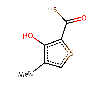 CNc1csc(C(=O)S)c1O